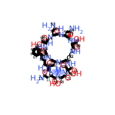 CCCCCCCC(=O)N[C@@H](CCN)C(=O)N[C@@H](CO)C(=O)N[C@](C=O)(CO)CN[C@H]1CCNC(=O)[C@H]([C@@H](C)O)NC(=O)[C@H](CCN)NC(=O)[C@H](CCN)NC(=O)[C@H]([C@@H](C)O)NC(=O)[C@@H](Cc2ccccc2)NC(=O)[C@H](CCN)NC1=O